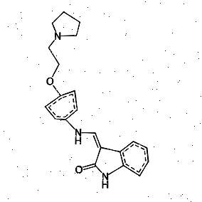 O=C1Nc2ccccc2C1=CNc1ccc(OCCN2CCCC2)cc1